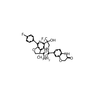 C[C@]1(C(N)=O)COc2c1cc(C(O)(CNC(=O)c1ccc3c(c1)OCC(=O)N3)C(F)(F)F)nc2-c1ccc(F)cc1